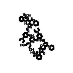 CCN(CC)c1ccc(/N=N/c2nc(N3CCCCC3)c(/C=C(\C(C)=O)C(=O)Nc3ccccc3S(=O)(=O)O)s2)c(Nc2nc(Nc3cc(N(CC)CC)ccc3/N=N/c3nc(N4CCCCC4)c(C(C(C)=O)C(=O)Nc4ccccc4S(=O)(=O)O)s3)nc(N(CCO)CCO)n2)c1